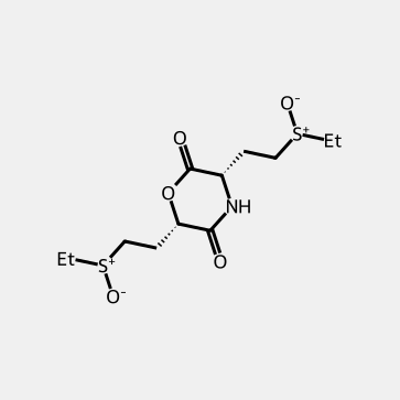 CC[S+]([O-])CC[C@@H]1NC(=O)[C@H](CC[S+]([O-])CC)OC1=O